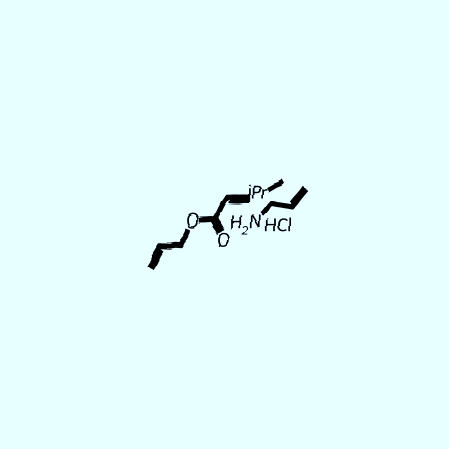 C=CCN.C=CCOC(=O)C=C.CC(C)C.Cl